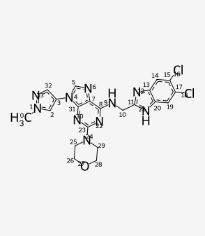 Cn1cc(-n2cnc3c(NCc4nc5cc(Cl)c(Cl)cc5[nH]4)nc(N4CCOCC4)nc32)cn1